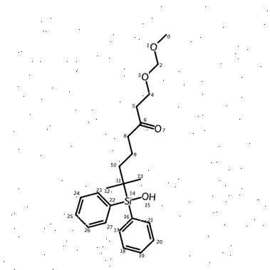 COCOCCC(=O)CCCC(C)(C)[Si](O)(c1ccccc1)c1ccccc1